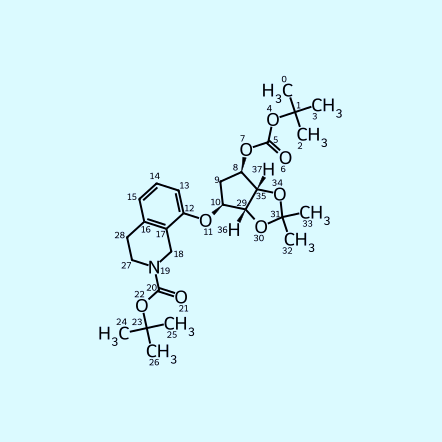 CC(C)(C)OC(=O)O[C@@H]1C[C@H](Oc2cccc3c2CN(C(=O)OC(C)(C)C)CC3)[C@H]2OC(C)(C)O[C@H]21